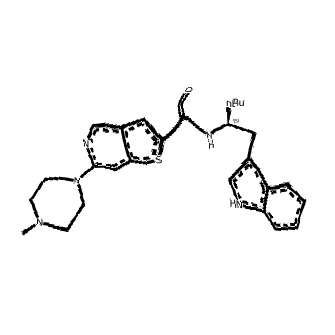 CCCC[C@@H](Cc1c[nH]c2ccccc12)NC(=O)c1cc2cnc(N3CCN(C)CC3)cc2s1